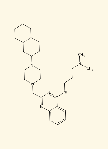 CN(C)CCCNc1nc(CN2CCN(C3CCC4CCCCC4C3)CC2)nc2ccccc12